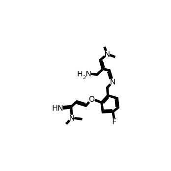 CN(C)/C=C(\C=N/Cc1ccc(F)cc1O/C=C/C(=N)N(C)C)CN